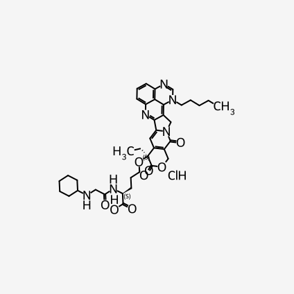 CCCCCN1C=Nc2cccc3nc4c(c1c23)Cn1c-4cc2c(c1=O)COC(=O)[C@@]2(CC)OC(=O)CC[C@H](NC(=O)CNC1CCCCC1)C(=O)O.Cl